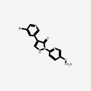 O=C(O)Oc1ccc(-n2[nH]cc(-c3cncc(Br)c3)c2=O)nc1